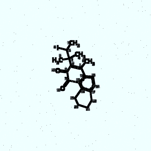 CC1=C(C(C)(C)C(C)I)C(=O)C(=O)c2c1ccc1c2CCCC1